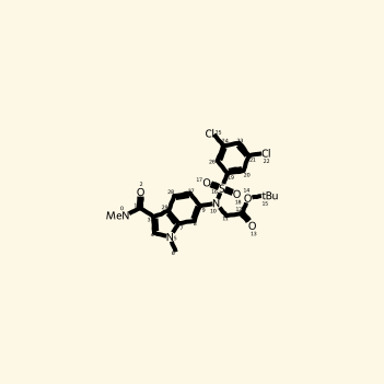 CNC(=O)c1cn(C)c2cc(N(CC(=O)OC(C)(C)C)S(=O)(=O)c3cc(Cl)cc(Cl)c3)ccc12